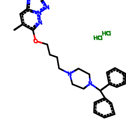 Cc1cc2ncnn2nc1OCCCCN1CCN(C(c2ccccc2)c2ccccc2)CC1.Cl.Cl